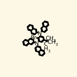 CC(C)(C)c1cc(N(c2ccc3ccccc3c2)c2ccc3ccccc3c2)c(Br)c(N(c2ccc3ccccc3c2)c2ccc3ccccc3c2)c1